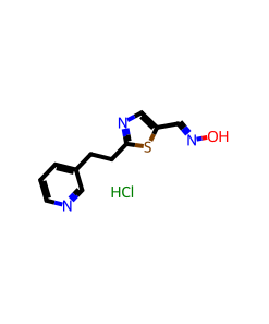 Cl.ON=Cc1cnc(CCc2cccnc2)s1